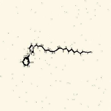 CCCCCCCCCCCCCCCCCN1C=CN(c2ccccc2)C1